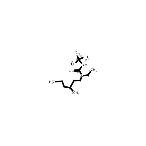 CCCC(C)CCN(CC)C(=O)OC(C)(C)C